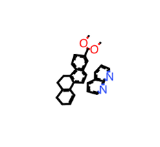 COC(OC)c1ccc2c3c(ccc2c1)C1=C(CCC=C1)CC3.c1cnc2ncccc2c1